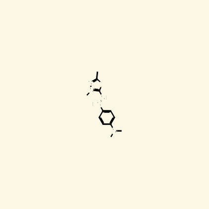 Cc1n[n+](C)c(NNc2ccc(N(C)C)cc2)s1